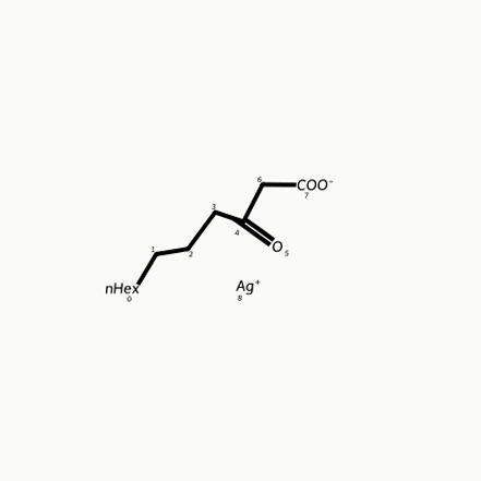 CCCCCCCCCC(=O)CC(=O)[O-].[Ag+]